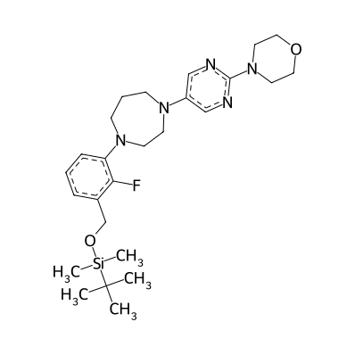 CC(C)(C)[Si](C)(C)OCc1cccc(N2CCCN(c3cnc(N4CCOCC4)nc3)CC2)c1F